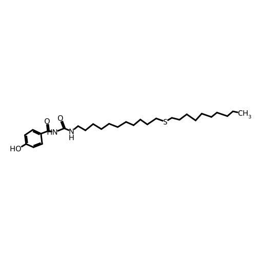 CCCCCCCCCCSCCCCCCCCCCCNC(=O)NC(=O)c1ccc(O)cc1